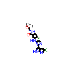 COCCNC(=O)C1CCC[C@H](Nc2nc(-c3c[nH]c4ncc(Cl)cc34)ncc2F)C1